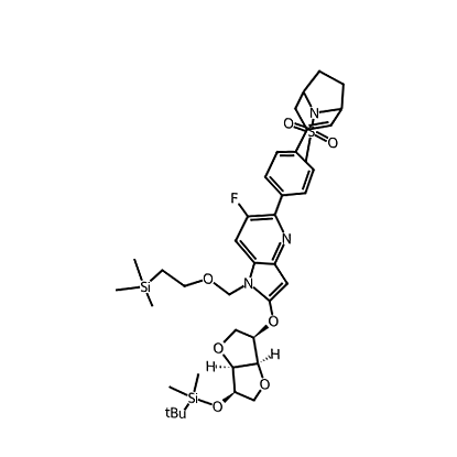 CC(C)(C)[Si](C)(C)O[C@@H]1CO[C@H]2[C@@H]1OC[C@H]2Oc1cc2nc(-c3ccc(C4=CC5CCC(C4)N5S(C)(=O)=O)cc3)c(F)cc2n1COCC[Si](C)(C)C